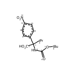 CC(C)C(NC(=O)OC(C)(C)C)(C(=O)O)c1ccc([N+](=O)[O-])cc1